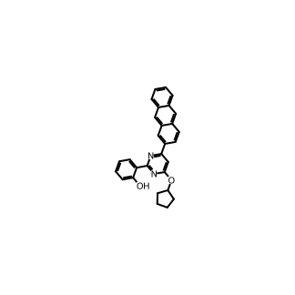 Oc1ccccc1-c1nc(OC2CCCC2)cc(-c2ccc3cc4ccccc4cc3c2)n1